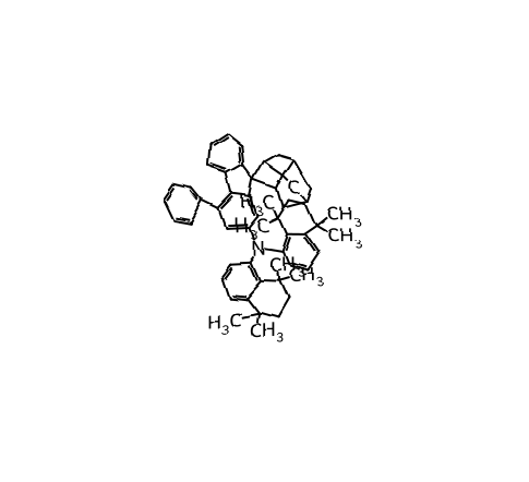 CC1(C)CCC(C)(C)c2c(N(c3cc(-c4ccccc4)c4c(c3)C3(c5ccccc5-4)C4CC5CC6CC3C64C5)c3cccc4c3C(C)(C)CCC4(C)C)cccc21